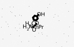 CCCC(C)(Oc1cccc(O)c1)C(N)=O